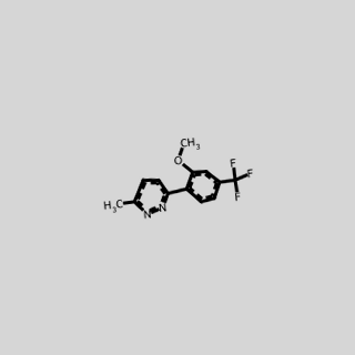 COc1cc(C(F)(F)F)ccc1-c1ccc(C)nn1